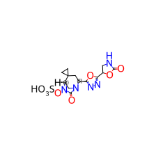 O=C1NCC(c2nnc([C@@H]3CC4(CC4)[C@@H]4CN3C(=O)N4OS(=O)(=O)O)o2)O1